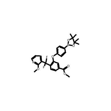 COC(=O)c1ccc(C(F)(F)c2cccnc2OC)c(Oc2ccc(B3OC(C)(C)C(C)(C)O3)cc2)c1